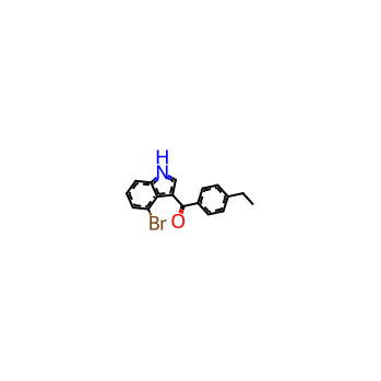 CCc1ccc(C(=O)c2c[nH]c3cccc(Br)c23)cc1